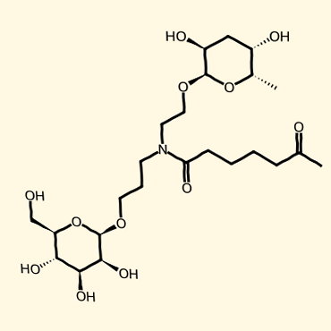 CC(=O)CCCCC(=O)N(CCCO[C@@H]1O[C@H](CO)[C@@H](O)[C@H](O)[C@@H]1O)CCO[C@@H]1O[C@@H](C)[C@@H](O)C[C@@H]1O